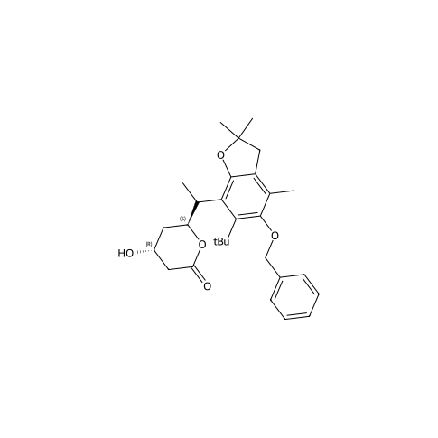 Cc1c2c(c(C(C)[C@@H]3C[C@@H](O)CC(=O)O3)c(C(C)(C)C)c1OCc1ccccc1)OC(C)(C)C2